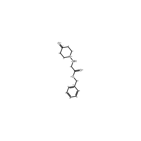 O=C1CCN(NCC(=O)OCc2ccccc2)CC1